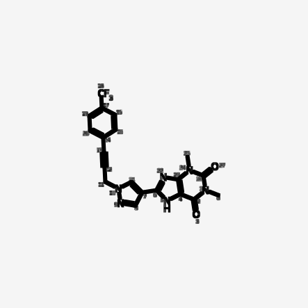 Cn1c(=O)c2[nH]c(-c3cnn(CC#Cc4ccc(C(F)(F)F)cc4)c3)nc2n(C)c1=O